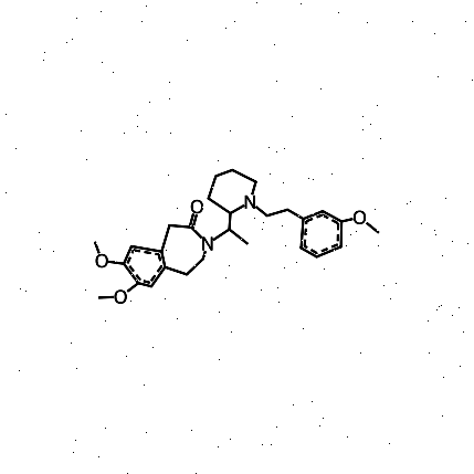 COc1cccc(CCN2CCCCC2C(C)N2CCc3cc(OC)c(OC)cc3CC2=O)c1